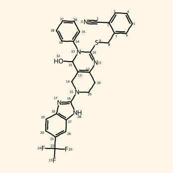 N#Cc1ccccc1CSC1=NC2=C(CN(c3nc4ccc(C(F)(F)F)cc4[nH]3)CC2)C(O)N1c1ccccc1